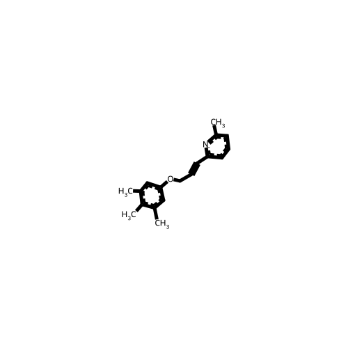 Cc1cccc(C#CCOc2cc(C)c(C)c(C)c2)n1